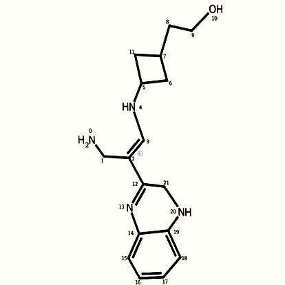 NC/C(=C\NC1CC(CCO)C1)C1=Nc2ccccc2NC1